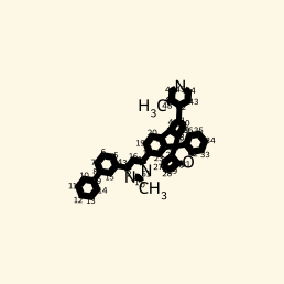 Cc1nc(-c2cccc(-c3ccccc3)c2)cc(-c2ccc3c(c2)C2(c4ccccc4Oc4ccccc42)c2ccc(-c4ccncc4C)cc2-3)n1